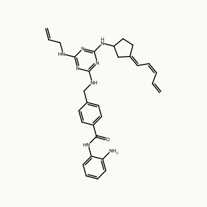 C=C/C=C\C=C1/CCC(Nc2nc(NCC=C)nc(NCc3ccc(C(=O)Nc4ccccc4N)cc3)n2)C1